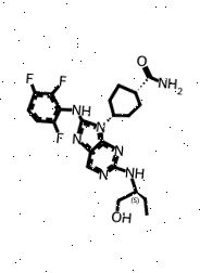 CC[C@@H](CO)Nc1ncc2nc(Nc3c(F)ccc(F)c3F)n([C@H]3CC[C@@H](C(N)=O)CC3)c2n1